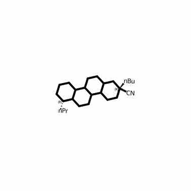 CCCC[C@@]1(C#N)CCC2C(CCC3C2CCC2C3CCC[C@H]2CCC)C1